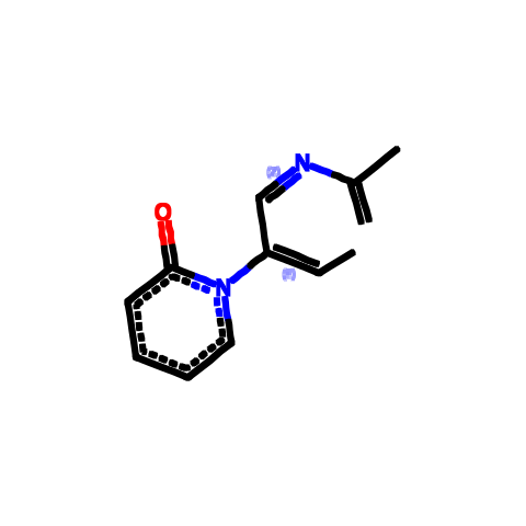 C=C(C)/N=C\C(=C/C)n1ccccc1=O